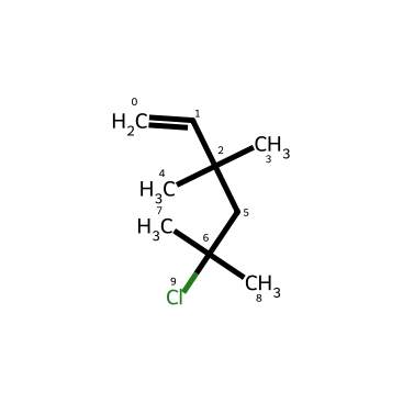 C=CC(C)(C)CC(C)(C)Cl